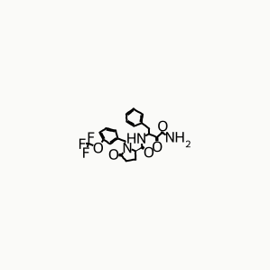 NC(=O)C(=O)C(Cc1ccccc1)NC(=O)[C@H]1CCC(=O)N1Cc1cccc(OC(F)(F)F)c1